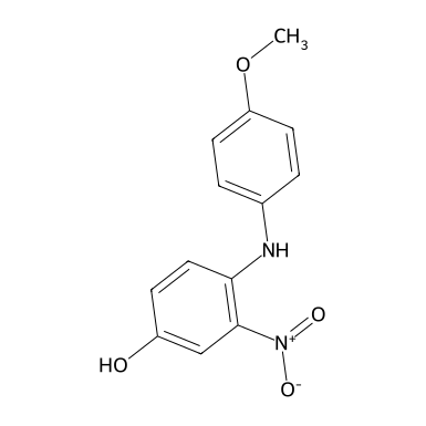 COc1ccc(Nc2ccc(O)cc2[N+](=O)[O-])cc1